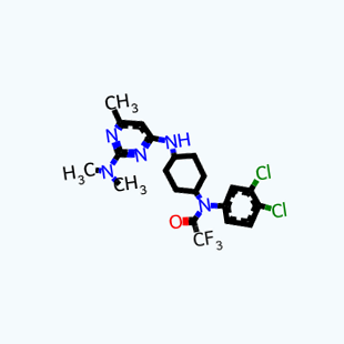 Cc1cc(NC2CCC(N(C(=O)C(F)(F)F)c3ccc(Cl)c(Cl)c3)CC2)nc(N(C)C)n1